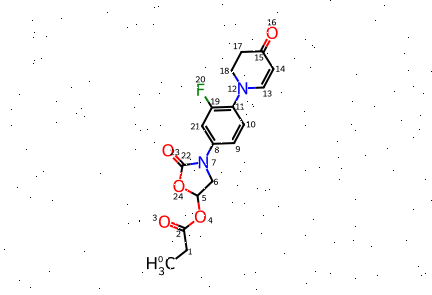 CCC(=O)OC1CN(c2ccc(N3C=CC(=O)CC3)c(F)c2)C(=O)O1